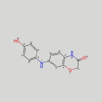 O=C1COc2cc(Nc3ccc(O)cc3)ccc2N1